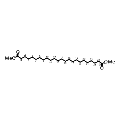 COC(=O)CCCCCCCCCCCCCCCCCCCCCCC(=O)OC